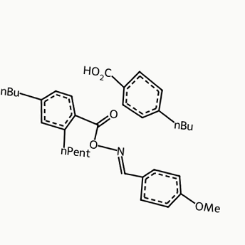 CCCCCc1cc(CCCC)ccc1C(=O)ON=Cc1ccc(OC)cc1.CCCCc1ccc(C(=O)O)cc1